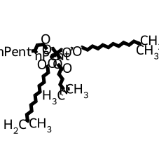 C=C(C)CCCCCCCCCCCOCOCC(COC(=O)CCCCCCCCCCC(=C)C)(COC(=O)CCCN(C)C)COC(=O)CC(CCCCC)CCCCC